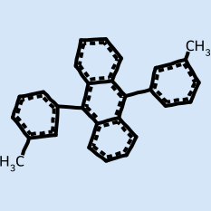 Cc1cccc(-c2c3ccccc3c(-c3cccc(C)c3)c3ccccc23)c1